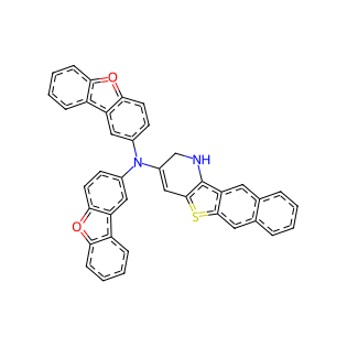 C1=C(N(c2ccc3oc4ccccc4c3c2)c2ccc3oc4ccccc4c3c2)CNc2c1sc1cc3ccccc3cc21